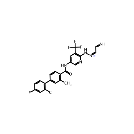 Cc1cc(-c2ccc(F)cc2Cl)ccc1C(=O)Nc1cnc(N/N=C\C=N)c(C(F)(F)F)c1